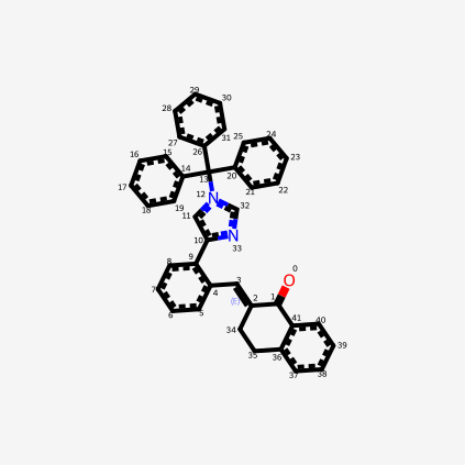 O=C1/C(=C/c2ccccc2-c2cn(C(c3ccccc3)(c3ccccc3)c3ccccc3)cn2)CCc2ccccc21